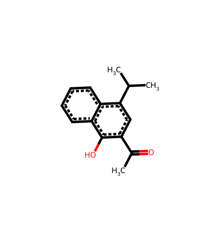 CC(=O)c1cc(C(C)C)c2ccccc2c1O